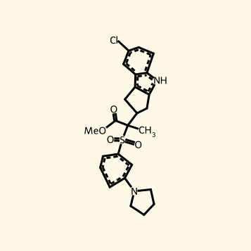 COC(=O)C(C)(C1Cc2[nH]c3ccc(Cl)cc3c2C1)S(=O)(=O)c1cccc(N2CCCC2)c1